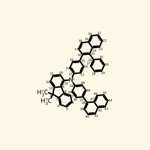 CC1(C)c2ccccc2-c2c(N(c3ccc(-c4ccc5ccccc5c4-c4ccccc4)cc3)c3ccc(-c4cccc5ccccc45)cc3)cccc21